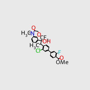 COC(=O)c1ccc(-c2ccc(C(C)C(O)(c3cccc4c3OCC(=O)N4C)C(F)(F)F)c(Cl)c2)cc1F